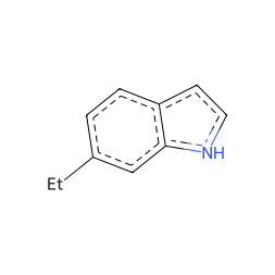 [CH2]Cc1ccc2cc[nH]c2c1